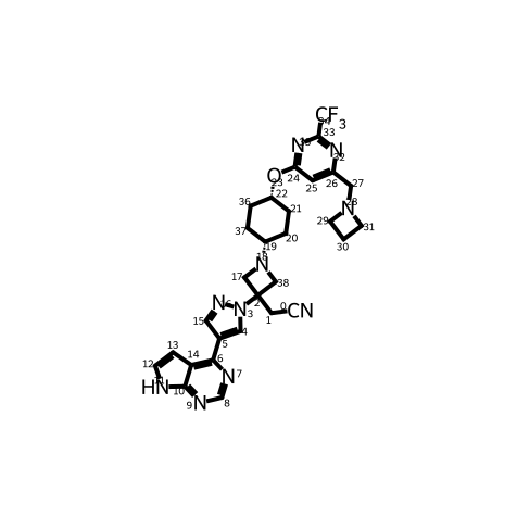 N#CCC1(n2cc(-c3ncnc4[nH]ccc34)cn2)CN([C@H]2CC[C@@H](Oc3cc(CN4CCC4)nc(C(F)(F)F)n3)CC2)C1